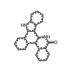 O=c1[nH]c2c(c3ccccc13)c1ccccc1c1[nH]c3ccccc3c12